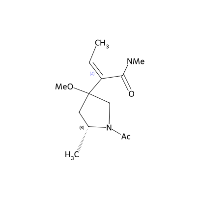 C/C=C(\C(=O)NC)C1(OC)C[C@@H](C)N(C(C)=O)C1